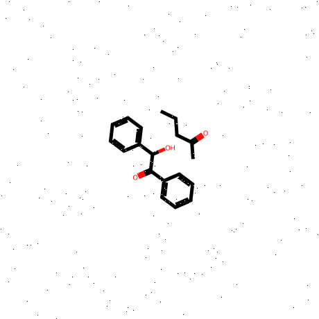 CCCC(C)=O.O=C(c1ccccc1)C(O)c1ccccc1